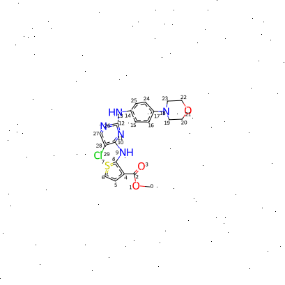 COC(=O)c1ccsc1Nc1nc(Nc2ccc(N3CCOCC3)cc2)ncc1Cl